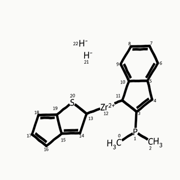 CP(C)C1=Cc2ccccc2[CH]1[Zr+2][CH]1C=C2C=CC=C2S1.[H-].[H-]